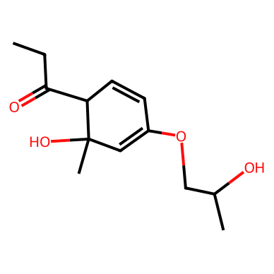 CCC(=O)C1C=CC(OCC(C)O)=CC1(C)O